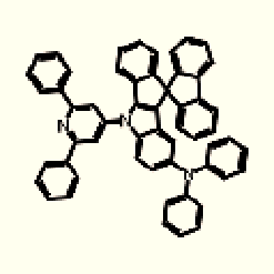 c1ccc(-c2cc(-n3c4c(c5cc(N(c6ccccc6)c6ccccc6)ccc53)C3(c5ccccc5-c5ccccc53)c3ccccc3-4)cc(-c3ccccc3)n2)cc1